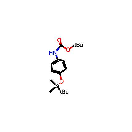 CC(C)(C)OC(=O)Nc1ccc(O[Si](C)(C)C(C)(C)C)cc1